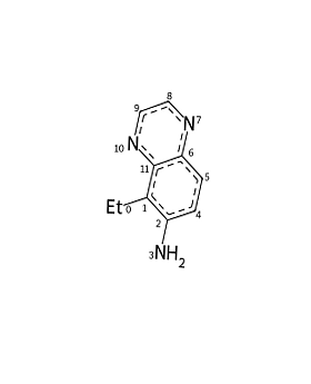 CCc1c(N)ccc2nccnc12